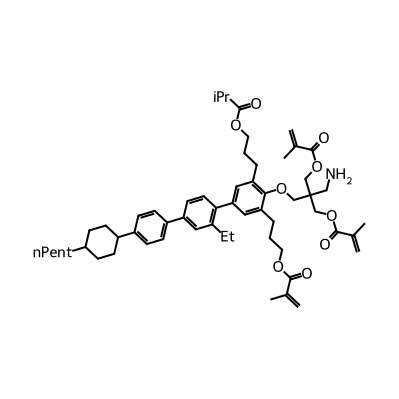 C=C(C)C(=O)OCCCc1cc(-c2ccc(-c3ccc(C4CCC(CCCCC)CC4)cc3)cc2CC)cc(CCCOC(=O)C(C)C)c1OCC(CN)(COC(=O)C(=C)C)COC(=O)C(=C)C